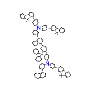 CC1(C)c2ccccc2-c2ccc(-c3ccc(N(c4ccc(-c5cccc6c5C(C)(C)c5ccccc5-6)cc4)c4cccc(-c5ccc(-c6ccc7c(c6)C(c6ccccc6)(c6ccccc6)c6cc(N(c8ccc(-c9ccc%10c(c9)C(C)(C)c9ccccc9-%10)cc8)c8cccc(-c9cccc%10ccccc9%10)c8)ccc6-7)c6ccccc56)c4)cc3)cc21